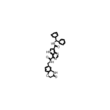 O=C1COc2ccc(CNC(=O)c3ncnc4c(C(=O)NC(c5ccccc5)c5ccccc5)c[nH]c34)cc2N1